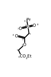 CCOC(=O)COC(=O)CS(=O)(=O)C(C)C